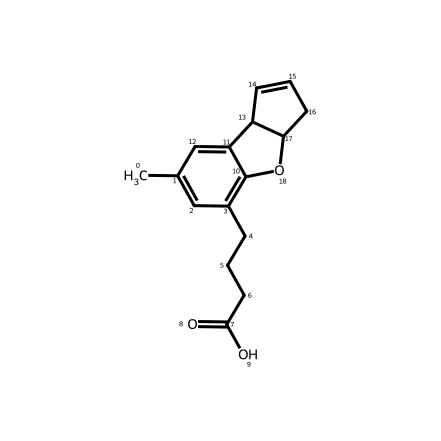 Cc1cc(CCCC(=O)O)c2c(c1)C1C=CCC1O2